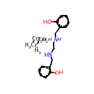 CC(=O)O.CC(=O)O.Oc1ccccc1CNCCNCc1ccccc1O